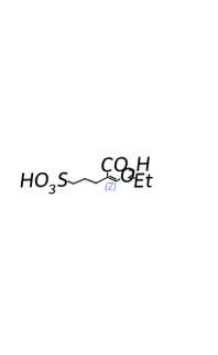 CCO/C=C(/CCCS(=O)(=O)O)C(=O)O